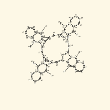 Fc1c2c(c(F)c3ccccc13)-c1nc-2nc2[nH]c(nc3nc(nc4[nH]c(n1)c1c(F)c5ccccc5c(F)c41)-c1c-3c(F)c3ccccc3c1F)c1c(F)c3ccccc3c(F)c21